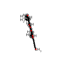 CCCCCCCCCCCCCCCC(=O)NC(CCC(=O)NCCOCCOCC(=O)NCCCC[C@H](NCN)C(=O)CN[C@@H](CO)C(N)=O)C(=O)O